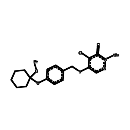 CC(C)OC1(Oc2ccc(CSc3cnn(C(C)(C)C)c(=O)c3Cl)cc2)CCCCC1